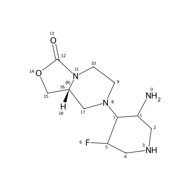 NC1CNCC(F)C1N1CCN2C(=O)OC[C@H]2C1